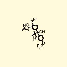 CCOc1ccc(C(O)(c2ccc(OC(F)(F)F)cc2)C2(C)CN(C)C2)cc1-c1nc(C)no1